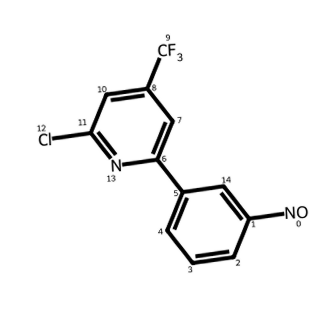 O=Nc1cccc(-c2cc(C(F)(F)F)cc(Cl)n2)c1